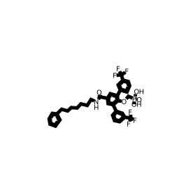 O=C(NCCCCCCCc1ccccc1)c1cc(-c2cccc(C(F)(F)F)c2)c(OCP(=O)(O)O)c(-c2cccc(C(F)(F)F)c2)c1